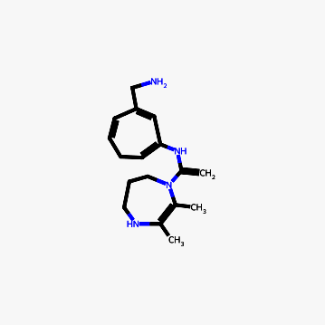 C=C(NC1=CCC=CC(CN)=C1)N1CCCNC(C)=C1C